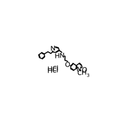 Cl.Cl.Cn1c(=O)ccc2cc(OCCCNCc3ccnc(CCc4ccccc4)c3)ccc21